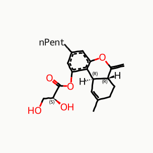 C=C1Oc2cc(CCCCC)cc(OC(=O)[C@@H](O)CO)c2[C@@H]2C=C(C)CC[C@@H]12